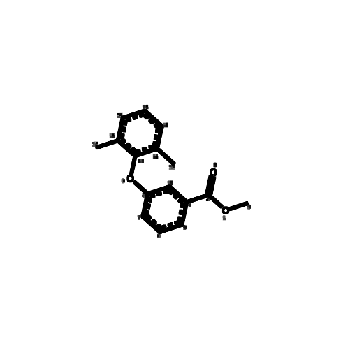 COC(=O)c1cccc(Oc2c(C)cccc2C)c1